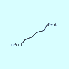 CCCCCCCCC[C](C)CCC